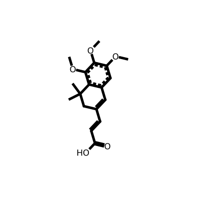 COc1cc2c(c(OC)c1OC)C(C)(C)CC(/C=C/C(=O)O)=C2